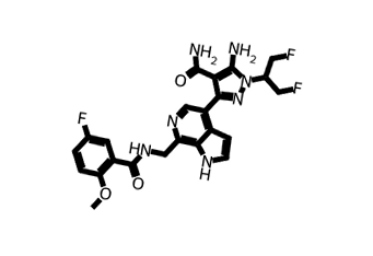 COc1ccc(F)cc1C(=O)NCc1ncc(-c2nn(C(CF)CF)c(N)c2C(N)=O)c2cc[nH]c12